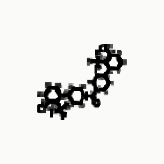 O=C(N1CCC(c2cccc(Cl)c2C(F)(F)F)CC1)N1CCC(c2cccc(Cl)c2C(F)(F)F)CC1